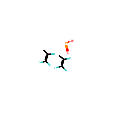 CC(F)=C(F)F.CC(F)=C(F)F.O=PO